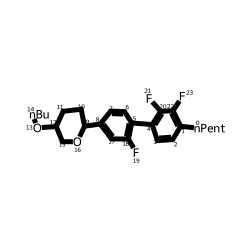 CCCCCc1ccc(-c2ccc(C3CCC(OCCCC)CO3)cc2F)c(F)c1F